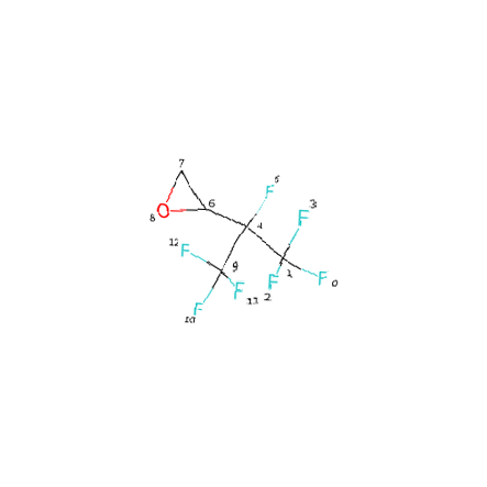 FC(F)(F)C(F)(C1CO1)C(F)(F)F